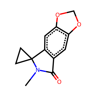 CN1C(=O)c2cc3c(cc2C12CC2)OCO3